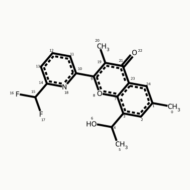 Cc1cc(C(C)O)c2oc(-c3cccc(C(F)F)n3)c(C)c(=O)c2c1